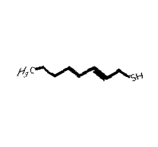 CCCCCC=CCS